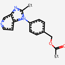 CCC(=O)OCc1ccc(-n2c(CC)nc3cnccc32)cc1